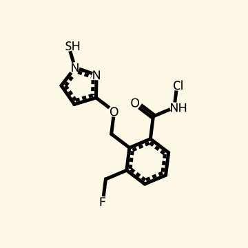 O=C(NCl)c1cccc(CF)c1COc1ccn(S)n1